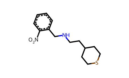 O=[N+]([O-])c1ccccc1CNCCC1CCSCC1